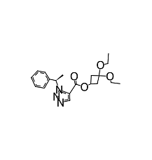 CCOC1(OCC)CC(OC(=O)c2cnnn2[C@H](C)c2ccccc2)C1